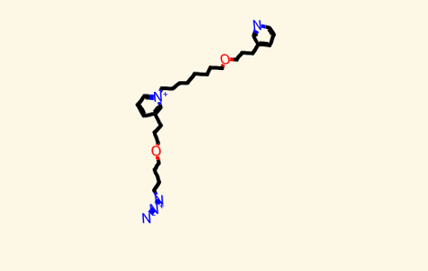 [N-]=[N+]=NCCCCOCCCc1ccc[n+](CCCCCCCCOCCCc2cccnc2)c1